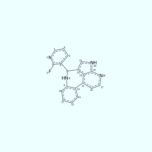 Fc1ncccc1C1Nc2ccccc2-c2ccnc3[nH]cc1c23